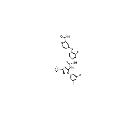 CNC(=O)c1cc(Oc2ccc(NC(=O)Nc3cc(C4CCC4)nn3-c3cc(F)cc(F)c3)cc2F)ccn1